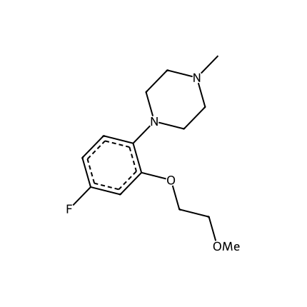 COCCOc1cc(F)ccc1N1CCN(C)CC1